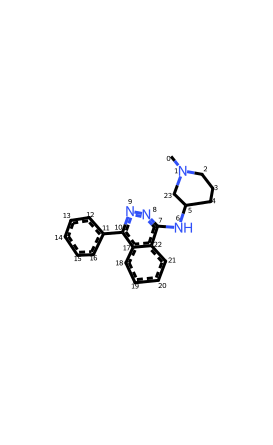 CN1CCCC(Nc2nnc(-c3ccccc3)c3ccccc23)C1